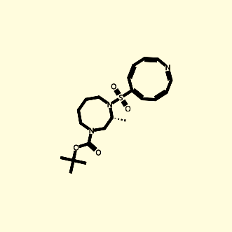 C[C@@H]1CN(C(=O)OC(C)(C)C)CCCCN1S(=O)(=O)c1ccccncccc1